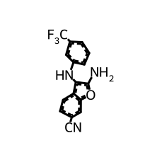 N#Cc1ccc2c(Nc3cccc(C(F)(F)F)c3)c(N)oc2c1